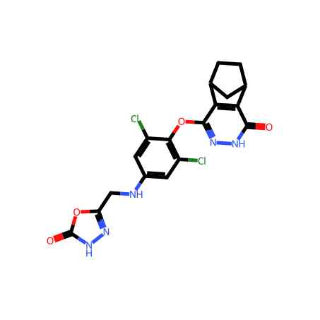 O=c1[nH]nc(CNc2cc(Cl)c(Oc3n[nH]c(=O)c4c3C3CCC4C3)c(Cl)c2)o1